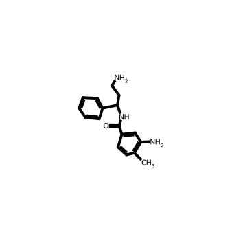 Cc1ccc(C(=O)NC(CCN)c2ccccc2)cc1N